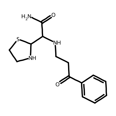 NC(=O)C(NCCC(=O)c1ccccc1)C1NCCS1